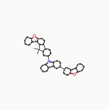 CC1(C)c2cc(-n3c4ccccc4c4cc(-c5ccc6oc7ccccc7c6c5)ccc43)ccc2-c2ccc3oc4ccccc4c3c21